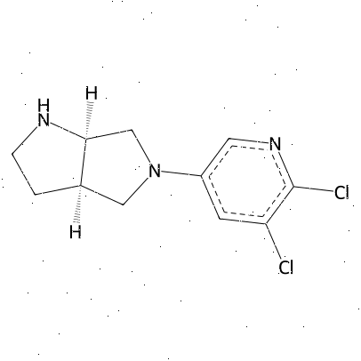 Clc1cc(N2C[C@H]3CCN[C@H]3C2)cnc1Cl